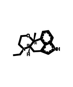 CCN1CCO[C@]2(C)c3cccc4[nH]cc(c34)C[C@@H]12